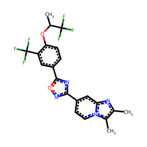 Cc1nc2cc(-c3noc(-c4ccc(OC(C)C(F)(F)F)c(C(F)(F)F)c4)n3)ccn2c1C